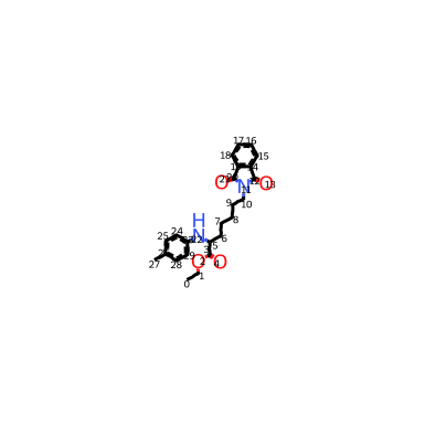 CCOC(=O)C(CCCCCN1C(=O)c2ccccc2C1=O)Nc1ccc(C)cc1